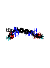 CC1(C(=O)N[C@H](c2ncc(-c3ccc(C45CCC(c6cnc([C@@H](NC(=O)C7(C)CCC(F)(F)CO7)C(C)(C)C)[nH]6)(CC4)CC5)cc3)[nH]2)C(C)(C)C)CCC(F)(F)CO1